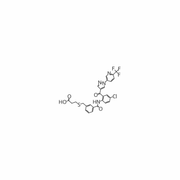 O=C(O)CCSCc1cccc(C(=O)Nc2ccc(Cl)cc2C(=O)c2cnn(-c3ccc(C(F)(F)F)nc3)c2)c1